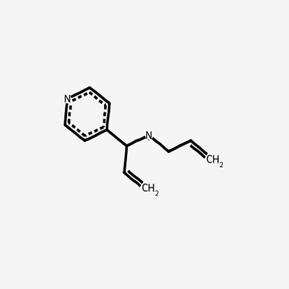 C=CC[N]C(C=C)c1ccncc1